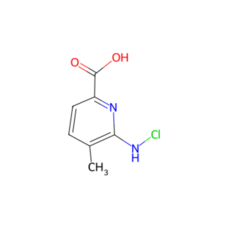 Cc1ccc(C(=O)O)nc1NCl